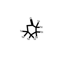 [2H]C1([2H])CC(=O)C([2H])([2H])C([2H])([2H])C1([2H])[2H]